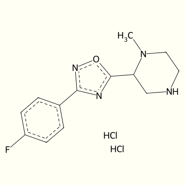 CN1CCNCC1c1nc(-c2ccc(F)cc2)no1.Cl.Cl